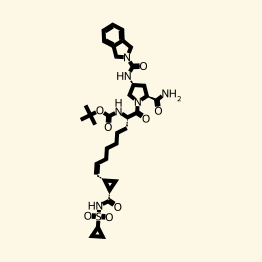 CC(C)(C)OC(=O)N[C@@H](CCCCC/C=C\[C@@H]1C[C@@H]1C(=O)NS(=O)(=O)C1CC1)C(=O)N1C[C@H](NC(=O)N2Cc3ccccc3C2)C[C@H]1C(N)=O